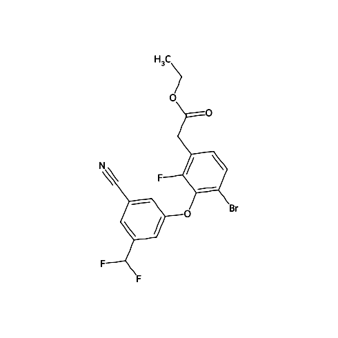 CCOC(=O)Cc1ccc(Br)c(Oc2cc(C#N)cc(C(F)F)c2)c1F